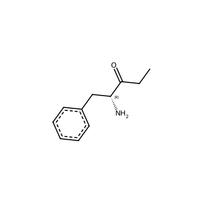 CCC(=O)[C@H](N)Cc1ccccc1